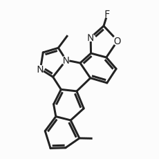 Cc1cccc2cc3c(cc12)c1ccc2oc(F)nc2c1n1c(C)cnc31